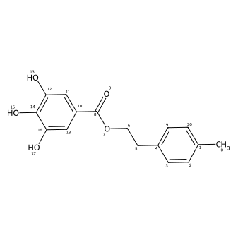 Cc1ccc(CCOC(=O)c2cc(O)c(O)c(O)c2)cc1